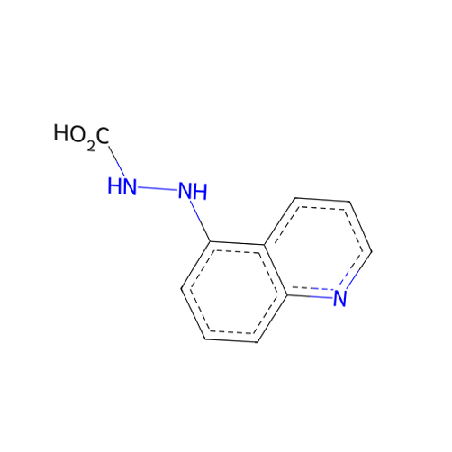 O=C(O)NNc1cccc2ncccc12